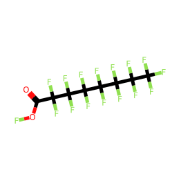 O=C(OF)C(F)(F)C(F)(F)C(F)(F)C(F)(F)C(F)(F)C(F)(F)C(F)(F)F